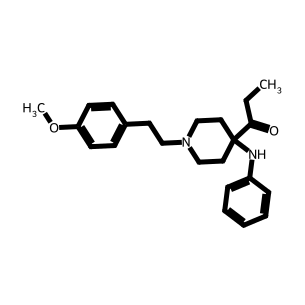 CCC(=O)C1(Nc2ccccc2)CCN(CCc2ccc(OC)cc2)CC1